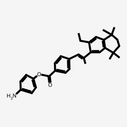 CCc1cc2c(cc1C(C)=Cc1ccc(C(=O)Oc3ccc(N)cc3)cc1)C(C)(C)CCC2(C)C